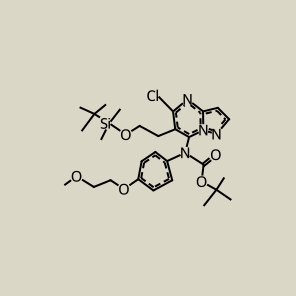 COCCOc1ccc(N(C(=O)OC(C)(C)C)c2c(CCO[Si](C)(C)C(C)(C)C)c(Cl)nc3ccnn23)cc1